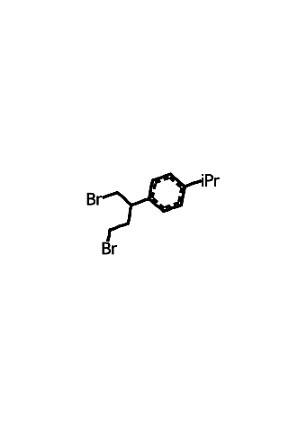 CC(C)c1ccc(C(CBr)CCBr)cc1